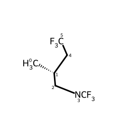 C[C@@H](CNC(F)(F)F)CC(F)(F)F